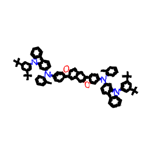 Cc1ccccc1N(c1ccc2c(c1)oc1cc3cc4c(cc3cc12)oc1cc(N(c2ccc3c5ccccc5n(-c5cc(C(C)(C)C)cc(C(C)(C)C)c5)c3c2)c2ccccc2C)ccc14)c1ccc2c3ccccc3n(-c3cc(C(C)(C)C)cc(C(C)(C)C)c3)c2c1